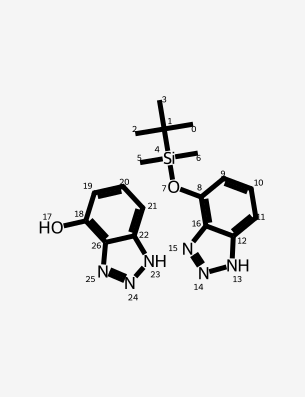 CC(C)(C)[Si](C)(C)Oc1cccc2[nH]nnc12.Oc1cccc2[nH]nnc12